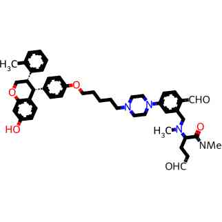 CNC(=O)C(CCC=O)N(C)Cc1cc(N2CCN(CCCCCOc3ccc([C@@H]4c5ccc(O)cc5OC[C@@H]4c4ccccc4C)cc3)CC2)ccc1C=O